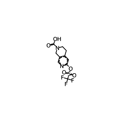 O=C(O)N1CCc2cc(OS(=O)(=O)C(F)(F)F)ncc2C1